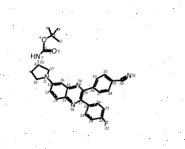 CC(C)(C)OC(=O)N[C@H]1CCN(c2ccc3nc(-c4ccc(F)cc4)c(-c4ccc(C#N)cc4)nc3c2)C1